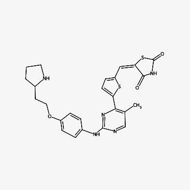 Cc1cnc(Nc2ccc(OCCC3CCCN3)cc2)nc1-c1ccc(C=C2SC(=O)NC2=O)s1